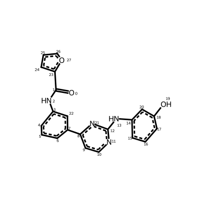 O=C(Nc1cccc(-c2ccnc(Nc3cccc(O)c3)n2)c1)c1ccco1